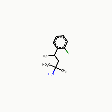 CC(CC(C)(N)C(=O)O)c1ccccc1F